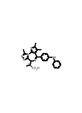 Cc1sc2c(c1C)C(c1ccc(Nc3ccccc3)cc1)=NC([C@H](C)C(=O)O)c1nnc(C)n1-2